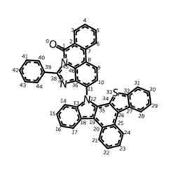 O=c1c2ccccc2c2ccc(-n3c4ccccc4c4c5ccccc5c5c6ccccc6sc5c43)c3nc(-c4ccccc4)n1c32